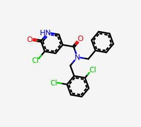 O=C(c1c[nH]c(=O)c(Cl)c1)N(Cc1ccccc1)Cc1c(Cl)cccc1Cl